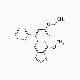 CCOC(=O)/C=C(/c1ccccc1)c1cc(OC)c2[nH]ccc2c1